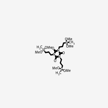 CO[Si](C)(CCCn1c(=O)n(CCC[Si](C)(OC)OC)c(=O)n(CCC[Si](C)(OC)OC)c1=O)OC